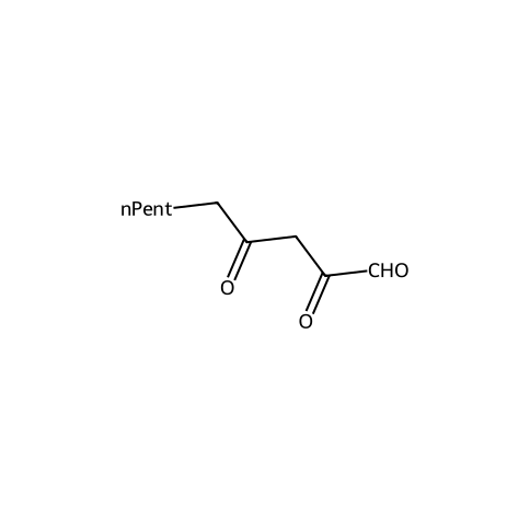 CCCCCCC(=O)CC(=O)C=O